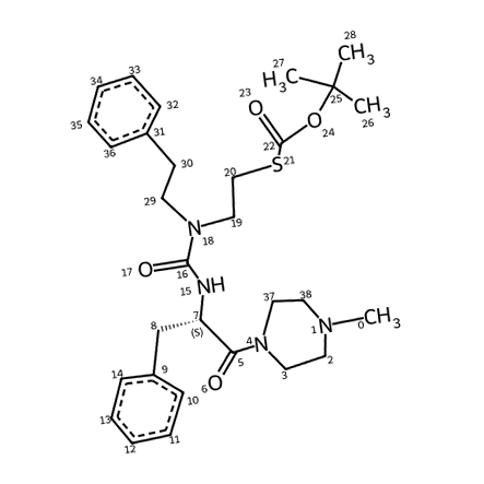 CN1CCN(C(=O)[C@H](Cc2ccccc2)NC(=O)N(CCSC(=O)OC(C)(C)C)CCc2ccccc2)CC1